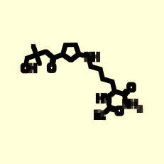 CCC(=O)NC(CCCCNC1CCC(C(=O)CC(C)(C)CO)C1)C(N)=O